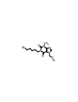 CCOCn1cnc2c1c(=O)n(CCCCCBr)c(=O)n2C